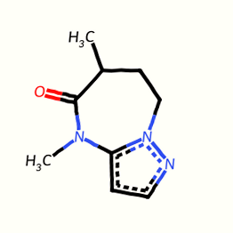 CC1CCn2nccc2N(C)C1=O